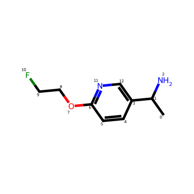 CC(N)c1ccc(OCCF)nc1